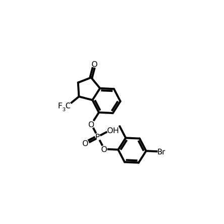 Cc1cc(Br)ccc1OP(=O)(O)Oc1cccc2c1C(C(F)(F)F)CC2=O